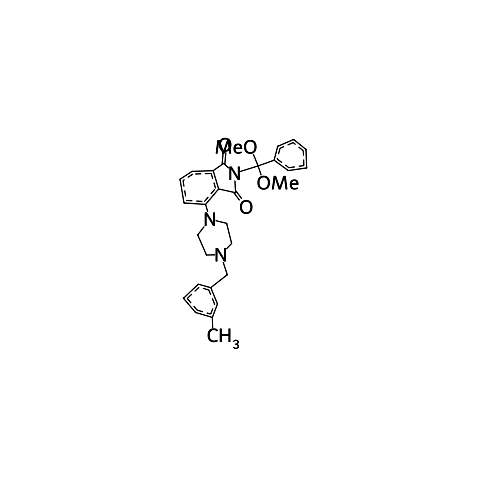 COC(OC)(c1ccccc1)N1C(=O)c2cccc(N3CCN(Cc4cccc(C)c4)CC3)c2C1=O